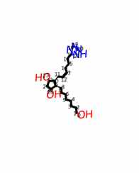 OCCCCCCC=C[C@@H]1[C@H](C/C=C\CCCc2nnn[nH]2)[C@H](O)C[C@@H]1O